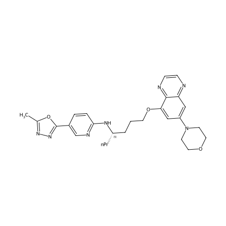 CCC[C@@H](CCCOc1cc(N2CCOCC2)cc2nccnc12)Nc1ccc(-c2nnc(C)o2)cn1